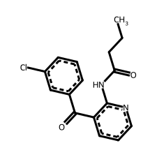 CCCC(=O)Nc1ncccc1C(=O)c1cccc(Cl)c1